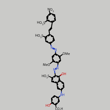 COc1cc(N=Nc2c(S(=O)(=O)O)cc3cc(Nc4ccc(O)c(C(=O)O)c4)ccc3c2O)c(OC)cc1N=Nc1ccc(C=Cc2ccc([N+](=O)[O-])cc2S(=O)(=O)O)c(S(=O)(=O)O)c1